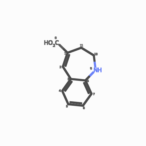 O=C(O)C1=Cc2ccccc2NCC1